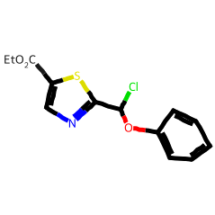 CCOC(=O)c1cnc(C(Cl)Oc2ccccc2)s1